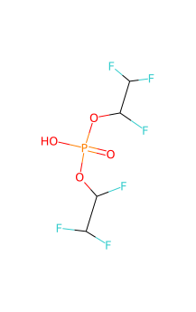 O=P(O)(OC(F)C(F)F)OC(F)C(F)F